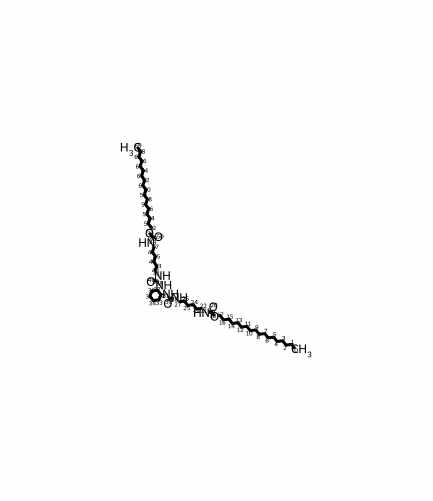 CCCCCCCCCCCCCCCCCCOC(=O)NCCCCCCNC(=O)N[C@@H]1CCCC[C@H]1NC(=O)NCCCCCCNC(=O)OCCCCCCCCCCCCCCCCCC